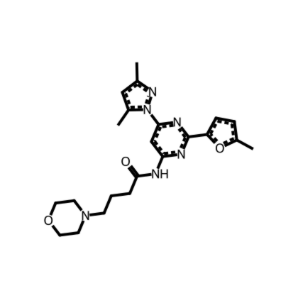 Cc1cc(C)n(-c2cc(NC(=O)CCCN3CCOCC3)nc(-c3ccc(C)o3)n2)n1